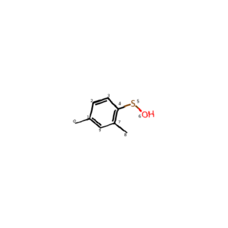 Cc1ccc(SO)c(C)c1